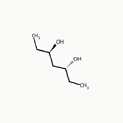 CC[C@@H](O)C[C@H](O)CC